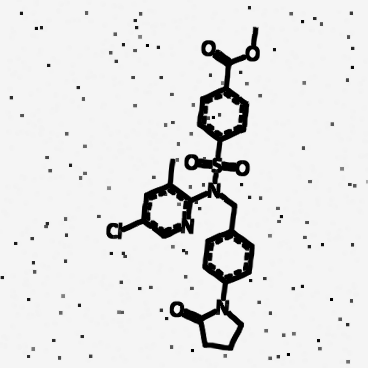 COC(=O)c1ccc(S(=O)(=O)N(Cc2ccc(N3CCCC3=O)cc2)c2ncc(Cl)cc2C)cc1